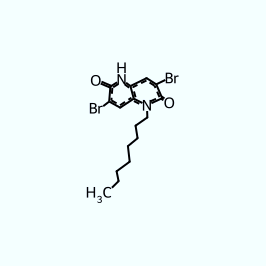 CCCCCCCCn1c(=O)c(Br)cc2[nH]c(=O)c(Br)cc21